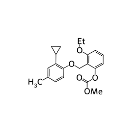 CCOc1cccc(OC(=O)OC)c1COc1ccc(C)cc1C1CC1